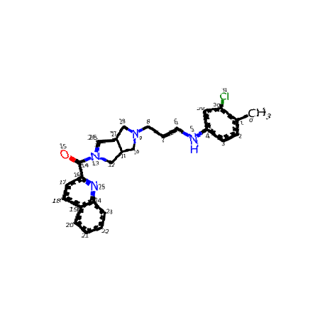 Cc1ccc(NCCCN2CC3CN(C(=O)c4ccc5ccccc5n4)CC3C2)cc1Cl